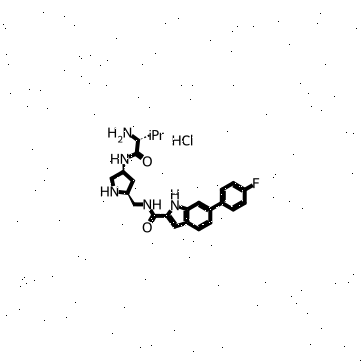 CC(C)[C@@H](N)C(=O)N[C@@H]1CN[C@H](CNC(=O)c2cc3ccc(-c4ccc(F)cc4)cc3[nH]2)C1.Cl